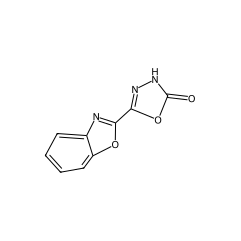 O=c1[nH]nc(-c2nc3ccccc3o2)o1